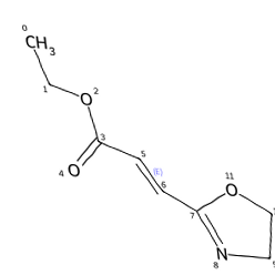 CCOC(=O)/C=C/C1=NCCO1